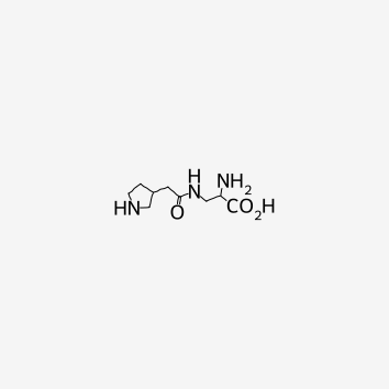 NC(CNC(=O)CC1CCNC1)C(=O)O